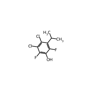 CC(C)c1c(F)c(O)c(F)c(Cl)c1Cl